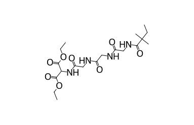 CCOC(=O)C(NC(=O)CNC(=O)CNC(=O)CNC(=O)C(C)(C)CC)C(=O)OCC